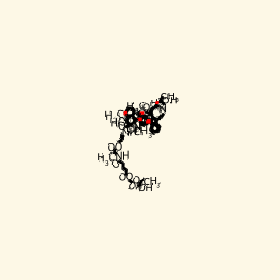 CCC(CO)OC(O)COC(=O)CCCC(=O)NC(C)C(=O)OCCCNC(=O)[C@]1(O)C2N(C)c3ccc([C@@]4(C(=O)OC)C[C@@H]5C[N@](CCc6c4[nH]c4ccccc64)CC(O)(CC)C5)cc3[C@@]23CCN2CC=C[C@](CC)(C23)[C@H]1O